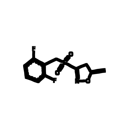 C=C1CC(S(=O)(=O)Cc2c(F)cccc2F)=NO1